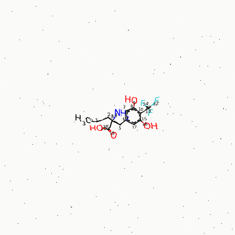 CCC[C@](N)(Cc1cc(O)c(C(F)(F)F)c(O)c1)C(=O)O